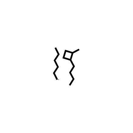 CCCCC1CCC1C.[CH2]CCCCC